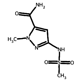 Cn1nc(NS(C)(=O)=O)cc1C(N)=O